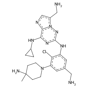 CC1(N)CCN(c2cc(CN)cc(Nc3nc(NC4CC4)c4ncc(CN)n4n3)c2Cl)CC1